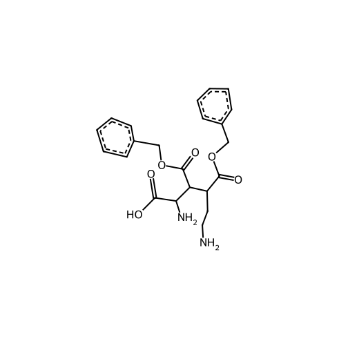 NCCC(C(=O)OCc1ccccc1)C(C(=O)OCc1ccccc1)C(N)C(=O)O